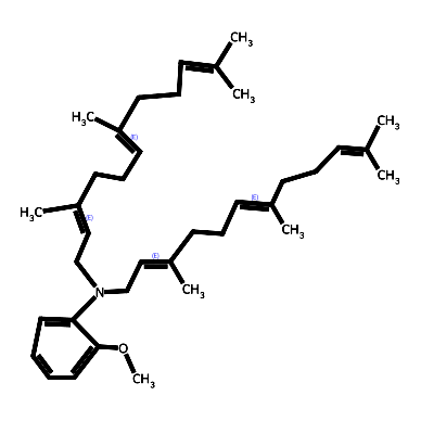 COc1ccccc1N(C/C=C(\C)CC/C=C(\C)CCC=C(C)C)C/C=C(\C)CC/C=C(\C)CCC=C(C)C